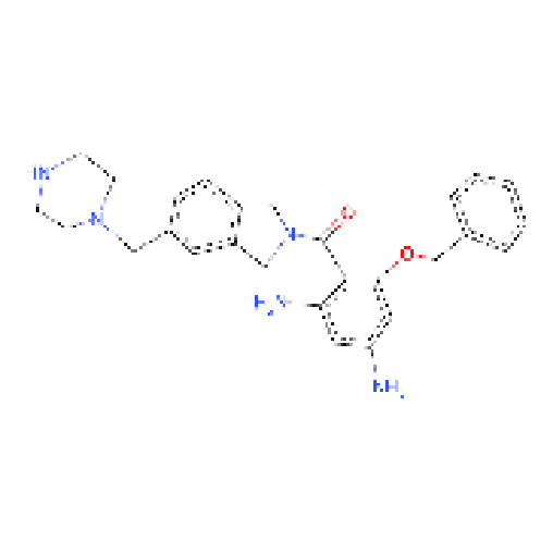 Nc1cc(N)c(C(=O)N2Cc3ccc(CN4CCNCC4)cc3C2)c(OCc2ccccc2)c1